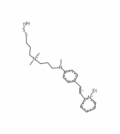 CCCSSCCC[N+](C)(C)CCCN(C)c1ccc(/C=C/c2cccc[n+]2CC)cc1